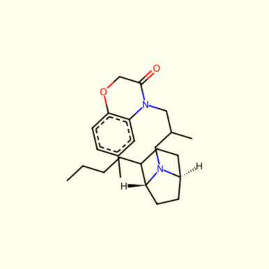 CCCCC1CC[C@H]2CC[C@H]1N2CC(C)CN1C(=O)COc2ccc(C)cc21